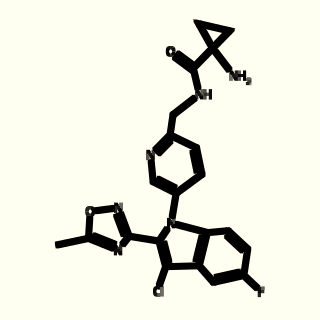 Cc1nc(-c2c(Cl)c3cc(F)ccc3n2-c2ccc(CNC(=O)C3(N)CC3)nc2)no1